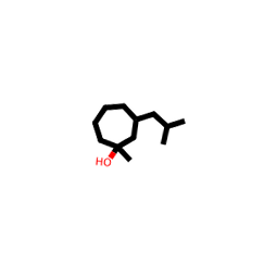 CC(C)CC1CCCCC(C)(O)C1